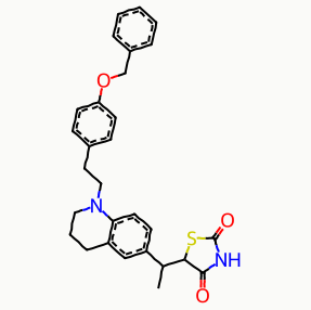 CC(c1ccc2c(c1)CCCN2CCc1ccc(OCc2ccccc2)cc1)C1SC(=O)NC1=O